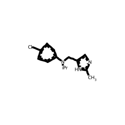 Cc1ncc(CN(c2ccc(Cl)cc2)C(C)C)[nH]1